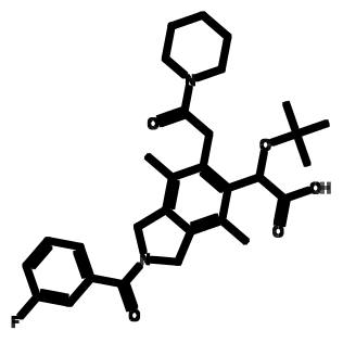 Cc1c2c(c(C)c(C(OC(C)(C)C)C(=O)O)c1CC(=O)N1CCCCC1)CN(C(=O)c1cccc(F)c1)C2